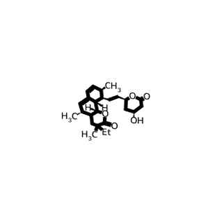 CCC1(C)CC2[C@H](C)C=C3C=C[C@@H](C)[C@@H](CC[C@@H]4C[C@@H](O)CC(=O)O4)[C@@H]3[C@@H]2OC1=O